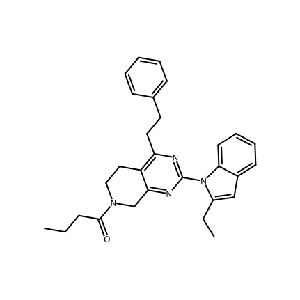 CCCC(=O)N1CCc2c(CCc3ccccc3)nc(-n3c(CC)cc4ccccc43)nc2C1